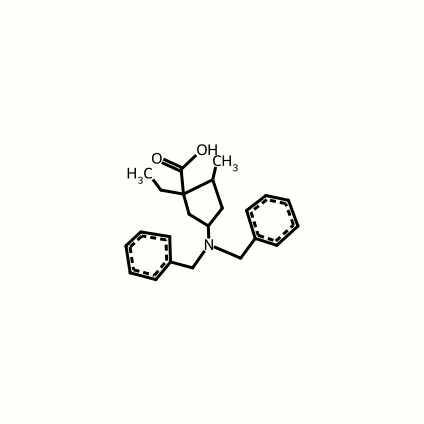 CCC1(C(=O)O)CC(N(Cc2ccccc2)Cc2ccccc2)CC1C